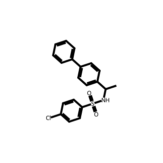 CC(NS(=O)(=O)c1ccc(Cl)cc1)c1ccc(-c2ccccc2)cc1